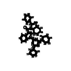 O=C1C2c3ccccc3N(c3nc(-c4ccccc4)nc(-c4ccccc4)n3)C2C2CCCC3N=C(c4ccccc4)N1C32